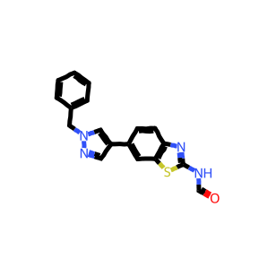 O=CNc1nc2ccc(-c3cnn(Cc4ccccc4)c3)cc2s1